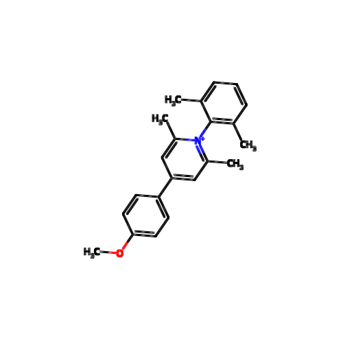 COc1ccc(-c2cc(C)[n+](-c3c(C)cccc3C)c(C)c2)cc1